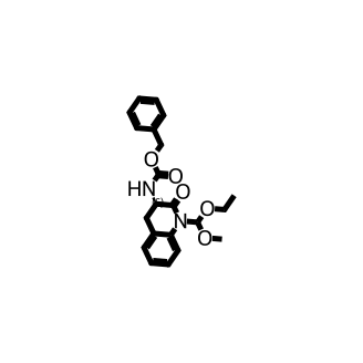 CCOC(OC)N1C(=O)[C@@H](NC(=O)OCc2ccccc2)Cc2ccccc21